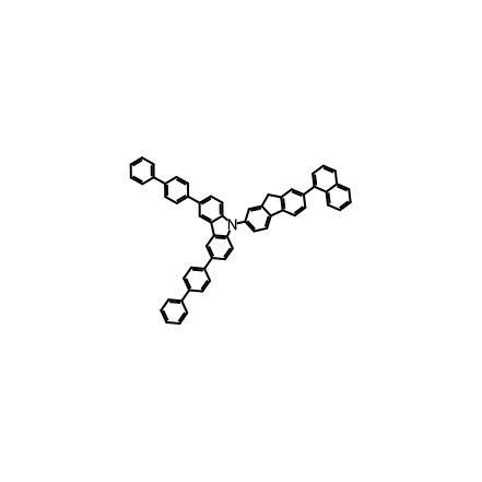 c1ccc(-c2ccc(-c3ccc4c(c3)c3cc(-c5ccc(-c6ccccc6)cc5)ccc3n4-c3ccc4c(c3)Cc3cc(-c5cccc6ccccc56)ccc3-4)cc2)cc1